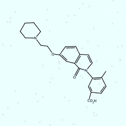 Cc1ccc(C(=O)O)cc1-n1ccc2ccc(OCCN3CCCCC3)cc2c1=O